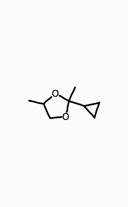 CC1COC(C)(C2CC2)O1